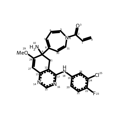 C=CC(=O)N1C=CC=C(C2(N)Cc3c(ncnc3Nc3ccc(F)c(Cl)c3)C=C2OC)C=C1